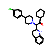 O=C(C1CCCCC1)C(C1CCc2ccccc2N1)N1CCC(c2ccc(Cl)cc2)CC1